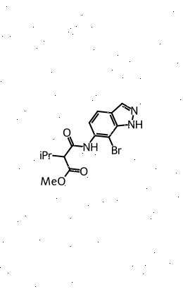 COC(=O)C(C(=O)Nc1ccc2cn[nH]c2c1Br)C(C)C